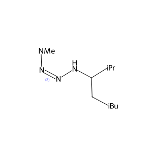 CCC(C)CC(N/N=N\NC)C(C)C